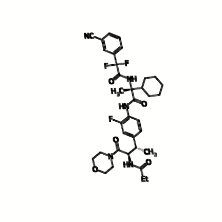 CCC(=O)N[C@@H](C(=O)N1CCOCC1)[C@@H](C)c1ccc(NC(=O)[C@](C)(NC(=O)C(F)(F)c2cccc(C#N)c2)C2CCCCC2)c(F)c1